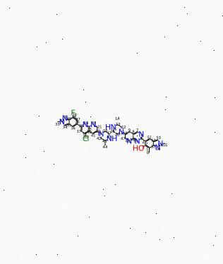 Cc1c(O)c(-c2ncc3cc(N4C[C@@H](C)N[C@@H](C5CN(c6cnc7nc(-c8cc(F)c9nn(C)cc9c8)cc(Cl)c7c6)C[C@H](C)N5)C4)cnc3n2)cc2cn(C)nc12